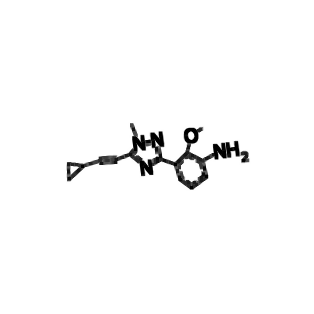 COc1c(N)cccc1-c1nc(C#CC2CC2)n(C)n1